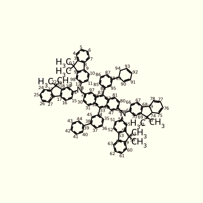 CC1(C)c2ccccc2-c2ccc(N(c3ccc4c(c3)C(C)(C)c3ccccc3-4)c3ccc4c(-c5cccc(-c6ccccc6)c5)c5cc(N(c6ccc7c(c6)C(C)(C)c6ccccc6-7)c6ccc7c(c6)C(C)(C)C6C=CC=CC76)ccc5c(-c5cccc(C6C=CC=CC6)c5)c4c3)cc21